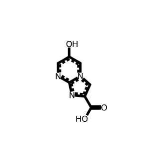 O=C(O)c1cn2cc(O)cnc2n1